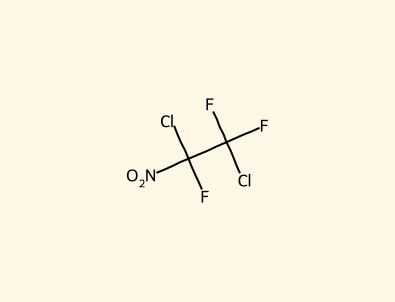 O=[N+]([O-])C(F)(Cl)C(F)(F)Cl